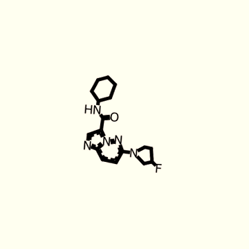 O=C(NC1CCCCC1)c1cnc2ccc(N3CCC(F)C3)nn12